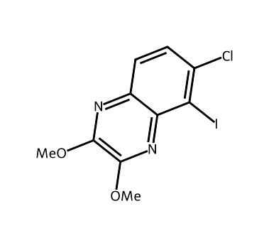 COc1nc2ccc(Cl)c(I)c2nc1OC